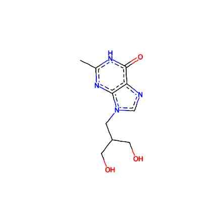 Cc1nc2c(ncn2CC(CO)CO)c(=O)[nH]1